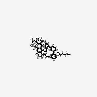 C=CCCCOc1ccccc1-c1cccc(-c2cc3nc(C)c(C(OC(C)(C)C)C(=O)OC)c(-c4ccc5c(c4Cl)N(CC=C)CCO5)n3n2)c1